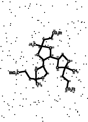 CCOC(=O)CCC1(C)OCC(C2OC(C)(CCC(=O)OCC)OC2C2COC(C)(CCC(=O)OCC)O2)O1